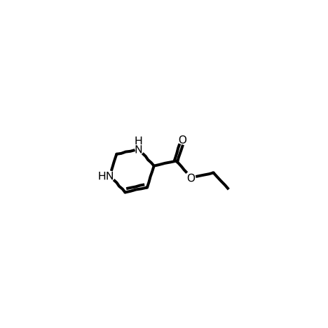 CCOC(=O)C1C=CNCN1